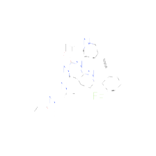 C#Cc1cccc(F)c1-c1nc2c(cc1F)c(N1CCN(C(=O)C=C)C[C@@H]1C)nc(=O)n2-c1c(C)ccnc1C(C)C